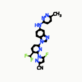 Cc1ccc(Nc2ccc3c(c2)ncn3-c2ccc(C(F)F)c(-n3nc(C#N)cc3F)n2)nn1